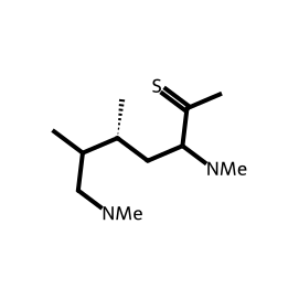 CNCC(C)[C@H](C)CC(NC)C(C)=S